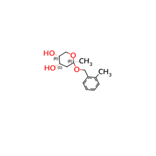 Cc1ccccc1CO[C@@]1(C)C[C@H](O)[C@H](O)CO1